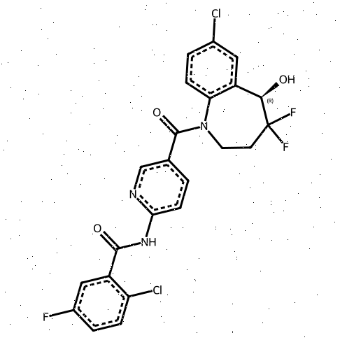 O=C(Nc1ccc(C(=O)N2CCC(F)(F)[C@H](O)c3cc(Cl)ccc32)cn1)c1cc(F)ccc1Cl